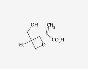 C=CC(=O)O.CCC1(CO)COC1